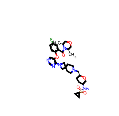 C[C@@H]1COC[C@@H](C)N1C(=O)c1cc(F)ccc1Oc1cncnc1N1CC2(CCN(C[C@@H]3CC[C@@H](NS(=O)(=O)C4CC4)CO3)CC2)C1